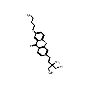 CCCCOc1ccc2sc3cc(CCC(N)(CO)CO)ccc3c(=O)c2c1